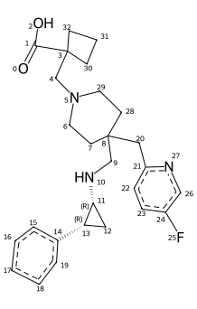 O=C(O)C1(CN2CCC(CN[C@@H]3C[C@@H]3c3ccccc3)(Cc3ccc(F)cn3)CC2)CCC1